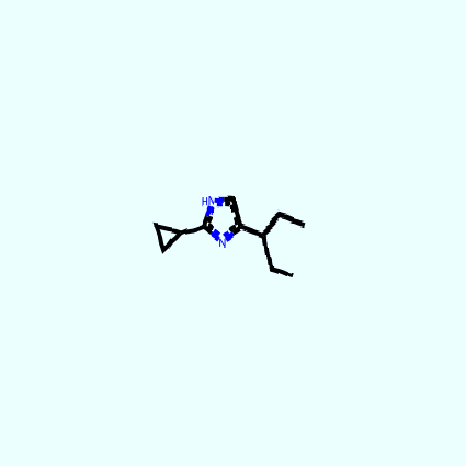 CCC(CC)c1c[nH]c(C2CC2)n1